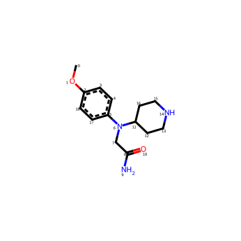 COc1ccc(N(CC(N)=O)C2CCNCC2)cc1